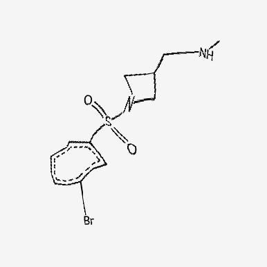 CNCC1CN(S(=O)(=O)c2cccc(Br)c2)C1